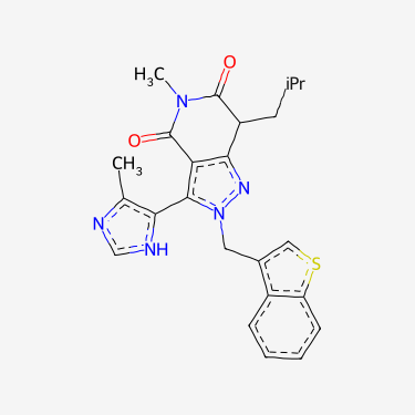 Cc1nc[nH]c1-c1c2c(nn1Cc1csc3ccccc13)C(CC(C)C)C(=O)N(C)C2=O